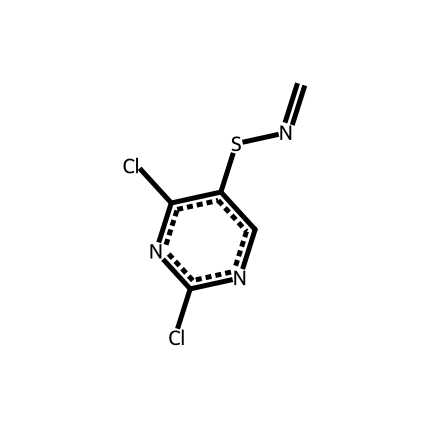 C=NSc1cnc(Cl)nc1Cl